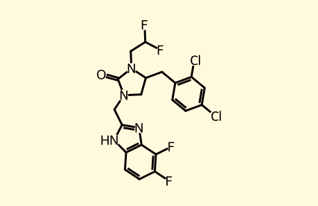 O=C1N(Cc2nc3c(F)c(F)ccc3[nH]2)CC(Cc2ccc(Cl)cc2Cl)N1CC(F)F